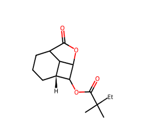 CCC(C)(C)C(=O)OC1C2OC(=O)C3CCC[C@@H]1C32